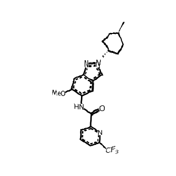 COc1cc2nn([C@H]3CC[C@H](C)CC3)cc2cc1NC(=O)c1cccc(C(F)(F)F)n1